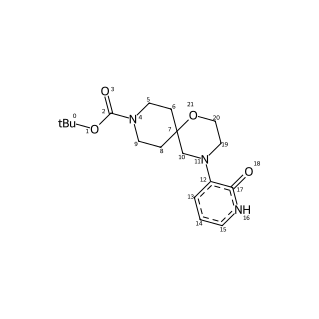 CC(C)(C)OC(=O)N1CCC2(CC1)CN(c1ccc[nH]c1=O)CCO2